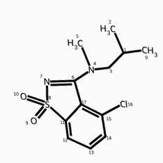 CC(C)CN(C)C1=NS(=O)(=O)c2cccc(Cl)c21